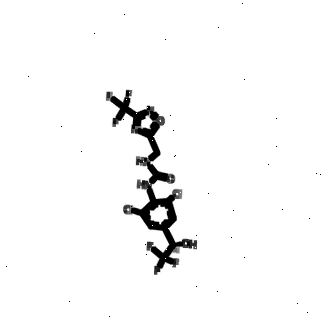 O=C(NCc1nc(C(F)(F)F)no1)Nc1c(Cl)cc([C@@H](O)C(F)(F)F)cc1Cl